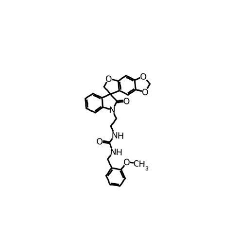 COc1ccccc1CNC(=O)NCCN1C(=O)C2(COc3cc4c(cc32)OCO4)c2ccccc21